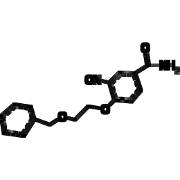 NC(=O)c1ccc(OCCOCc2ccccc2)c(N=O)c1